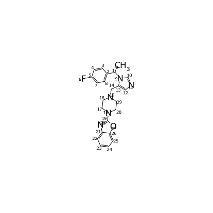 CC(c1ccc(F)cc1)n1cncc1CN1CCN(c2nc3ccccc3o2)CC1